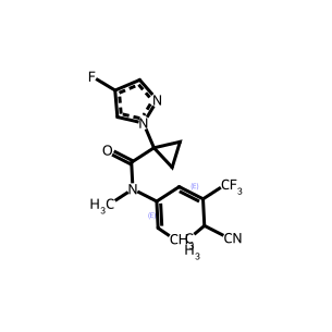 C/C=C(\C=C(/C(C)C#N)C(F)(F)F)N(C)C(=O)C1(n2cc(F)cn2)CC1